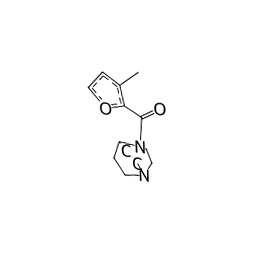 Cc1ccoc1C(=O)N1CCN2CCC1CC2